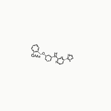 COc1ccccc1COc1cccc(Nc2nccc(-c3nccs3)n2)c1